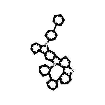 c1ccc(-c2ccc(-n3c4ccccc4c4cc5c(cc43)c3ccc4sc6cccc7c8ccccc8c8ccccc8n5c3c4c67)cc2)cc1